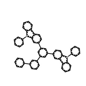 c1ccc(-c2cccc(-c3cc(-c4ccc5c(c4)c4ccccc4n5-c4ccccc4)cc(-c4ccc5c6ccccc6n(-c6ccccc6)c5c4)c3)c2)cc1